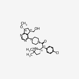 CO[C@@H]1C[C@@H](CO)c2c1ncnc2N1CCN(C(=O)[C@@H](c2ccc(Cl)cc2)[C@@H]2CCC(C)(C)N2)CC1